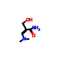 CN(C)C=C(CO)C(N)=O